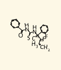 C=C[C@H](F)[C@](C)(NC(=S)NC(=O)c1ccccc1)c1ccccc1F